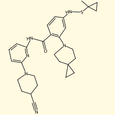 CC1(SNc2ccc(C(=O)Nc3cccc(N4CCC(C#N)CC4)n3)c(N3CCC4(CC3)CC4)c2)CC1